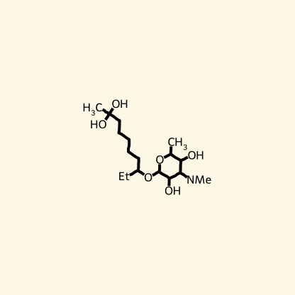 CCC(CCCCCC(C)(O)O)OC1OC(C)C(O)C(NC)C1O